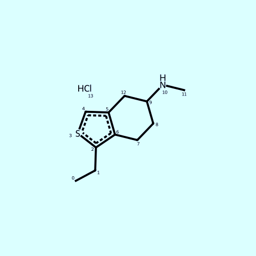 CCc1scc2c1CCC(NC)C2.Cl